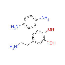 NCCc1ccc(O)c(O)c1.Nc1ccc(N)cc1